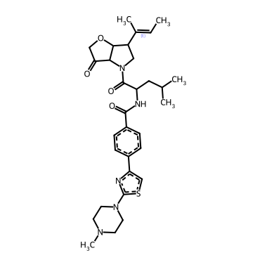 C/C=C(\C)C1CN(C(=O)C(CC(C)C)NC(=O)c2ccc(-c3csc(N4CCN(C)CC4)n3)cc2)C2C(=O)COC12